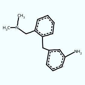 CN(C)Cc1ccccc1Cc1cc[c]c(N)c1